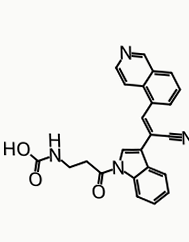 N#C/C(=C\c1cccc2cnccc12)c1cn(C(=O)CCNC(=O)O)c2ccccc12